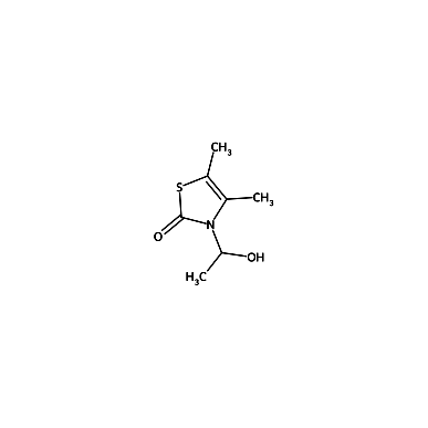 Cc1sc(=O)n(C(C)O)c1C